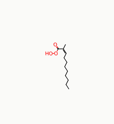 CCCCCCCCC=C(C)C(=O)OO